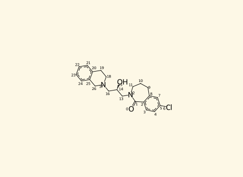 O=C1c2ccc(Cl)cc2CCCN1C[C@H](O)CN1CCc2ccccc2C1